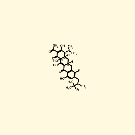 CC(C)C(C)(C)N(C)Cc1cc(O)c2c(c1F)C[C@H]1C[C@H]3[C@H](N(C)C)C(O)=C(C(N)=O)C(=O)[C@@]3(O)C(O)=C1C2=O